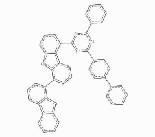 c1ccc(-c2ccc(-c3nc(-c4ccccc4)nc(-c4cccc5oc6c(-c7cccc8c7sc7ccccc78)cccc6c45)n3)cc2)cc1